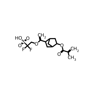 C=C(C)C(=O)OC1CC2CC1CC2C(=C)OCC(F)(F)S(=O)(=O)O